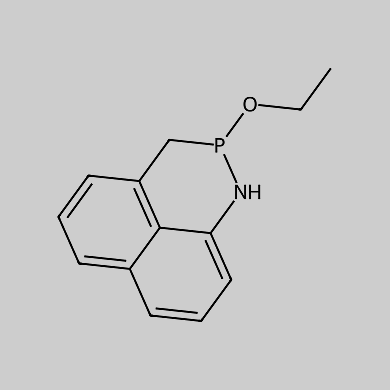 CCOP1Cc2cccc3cccc(c23)N1